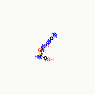 Cc1cc(-c2n[nH]c3sc(C(=O)NC4CCN(CC(=O)N5CCN(c6ccc(-c7ncccn7)cc6)CC5)C4)cc23)ccc1O